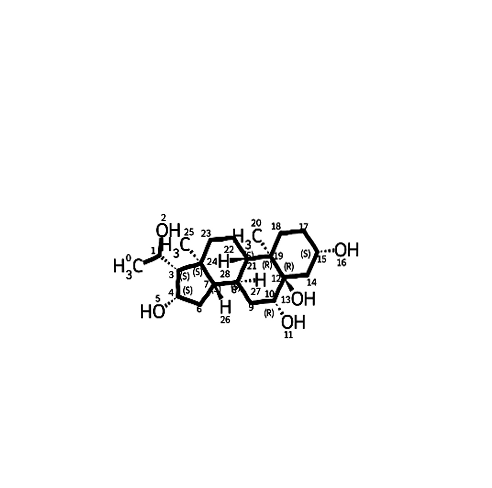 CC(O)[C@H]1[C@@H](O)C[C@H]2[C@@H]3C[C@@H](O)[C@@]4(O)C[C@@H](O)CC[C@]4(C)[C@H]3CC[C@@]21C